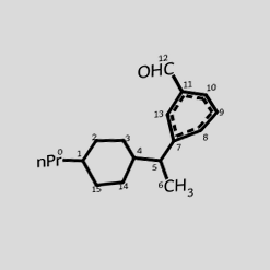 CCCC1CCC(C(C)c2cccc(C=O)c2)CC1